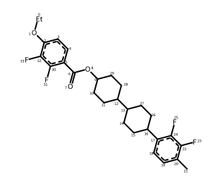 CCOc1ccc(C(=O)OC2CCC(C3CCC(c4ccc(C)c(F)c4F)CC3)CC2)c(F)c1F